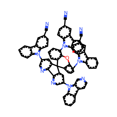 N#Cc1ccc2c(c1)c1ccccc1n2-c1cnc2c(c1)C1(c3cc(-n4c5ccccc5c5ccncc54)cnc3-2)c2cccc(-n3c4ccccc4c4cc(C#N)ccc43)c2Oc2c(-n3c4ccccc4c4cc(C#N)ccc43)cccc21